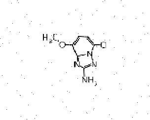 COc1ccc(Cl)n2nc(N)nc12